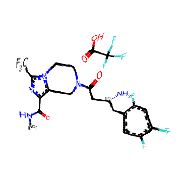 CCCNC(=O)c1nc(C(F)(F)F)n2c1CN(C(=O)C[C@H](N)Cc1cc(F)c(F)cc1F)CC2.O=C(O)C(F)(F)F